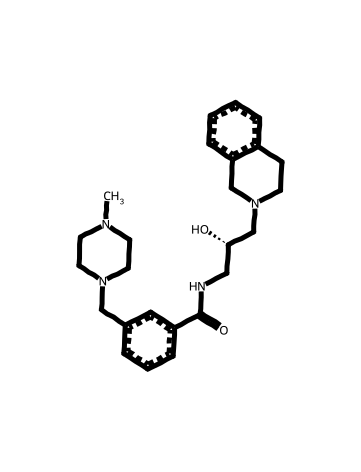 CN1CCN(Cc2cccc(C(=O)NC[C@H](O)CN3CCc4ccccc4C3)c2)CC1